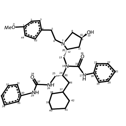 COc1ccc(CCN2C[C@@H](O)C[C@@H]2CN(C(=O)Nc2ccccc2)[C@@H](CNC(=O)Nc2ccccc2)CC2CCCCC2)cc1